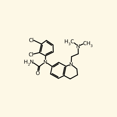 CN(C)CCN1CCCc2ccc(N(C(N)=O)c3cccc(Cl)c3Cl)cc21